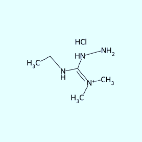 CCNC(NN)=[N+](C)C.Cl